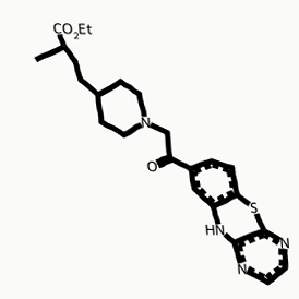 CCOC(=O)C(C)CCC1CCN(CC(=O)c2ccc3c(c2)Nc2nccnc2S3)CC1